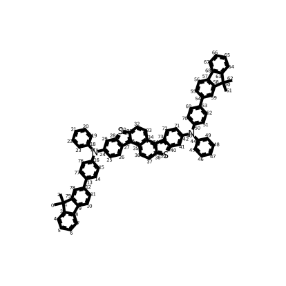 CC1(C)c2ccccc2-c2ccc(-c3ccc(N(c4ccccc4)c4ccc5c(c4)sc4ccc6c(ccc7sc8cc(N(c9ccccc9)c9ccc(-c%10ccc%11c(c%10)C(C)(C)c%10ccccc%10-%11)cc9)ccc8c76)c45)cc3)cc21